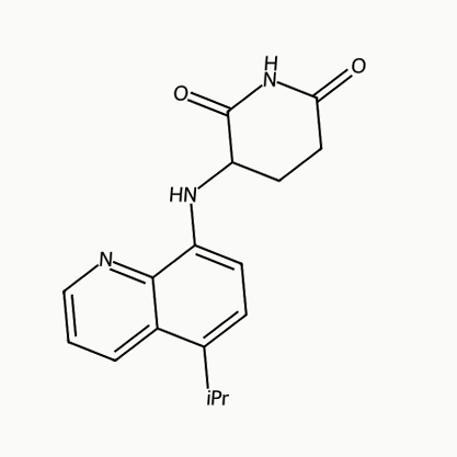 CC(C)c1ccc(NC2CCC(=O)NC2=O)c2ncccc12